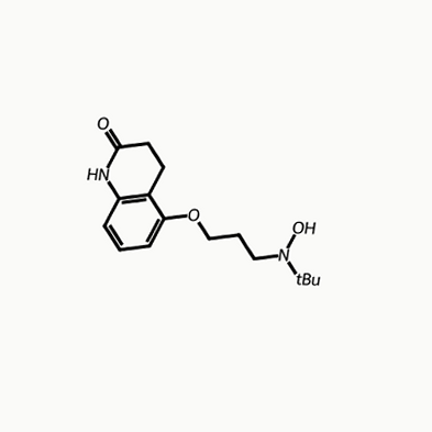 CC(C)(C)N(O)CCCOc1cccc2c1CCC(=O)N2